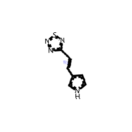 C(=C\c1nnsn1)/c1cc[nH]c1